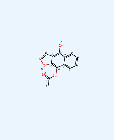 CC(=O)Oc1c2ccccc2c(O)c2ccoc12